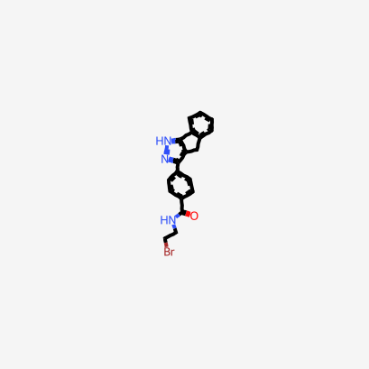 O=C(NCCBr)c1ccc(-c2n[nH]c3c2Cc2ccccc2-3)cc1